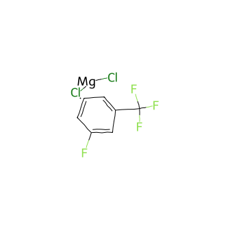 Fc1c[c]cc(C(F)(F)F)c1.[Cl][Mg][Cl]